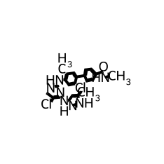 CNC(=O)c1ccc(-c2cc(C)c(Nc3ncc(Cl)c(Nc4cc(C)[nH]n4)n3)cc2Cl)cc1